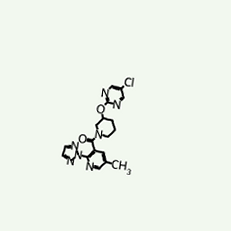 Cc1cnc(-n2nccn2)c(C(=O)N2CCCC(Oc3ncc(Cl)cn3)C2)c1